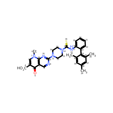 CCn1cc(C(=O)O)c(=O)c2cnc(N3CCN(C(=S)Nc4ccccc4-c4c(C)cc(C)cc4C)CC3)nc21